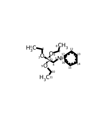 CCO[Si](CN)(OCC)OCC.c1ccccc1